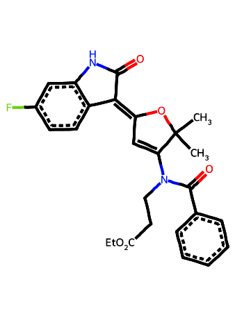 CCOC(=O)CCN(C(=O)c1ccccc1)C1=CC(=C2C(=O)Nc3cc(F)ccc32)OC1(C)C